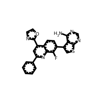 Nc1ncnc2scc(-c3ccc4c(-c5ncco5)cc(-c5ccccc5)nc4c3F)c12